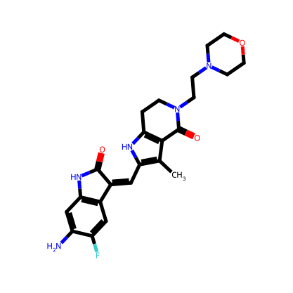 Cc1c(/C=C2\C(=O)Nc3cc(N)c(F)cc32)[nH]c2c1C(=O)N(CCN1CCOCC1)CC2